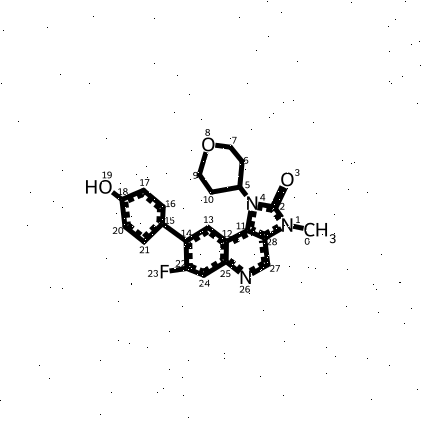 Cn1c(=O)n(C2CCOCC2)c2c3cc(-c4ccc(O)cc4)c(F)cc3ncc21